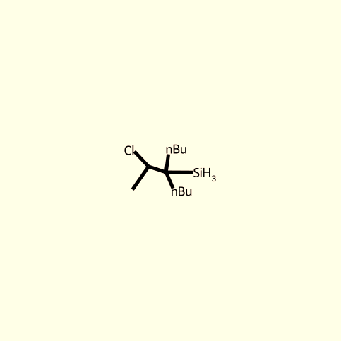 CCCCC([SiH3])(CCCC)C(C)Cl